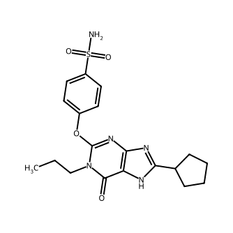 CCCn1c(Oc2ccc(S(N)(=O)=O)cc2)nc2nc(C3CCCC3)[nH]c2c1=O